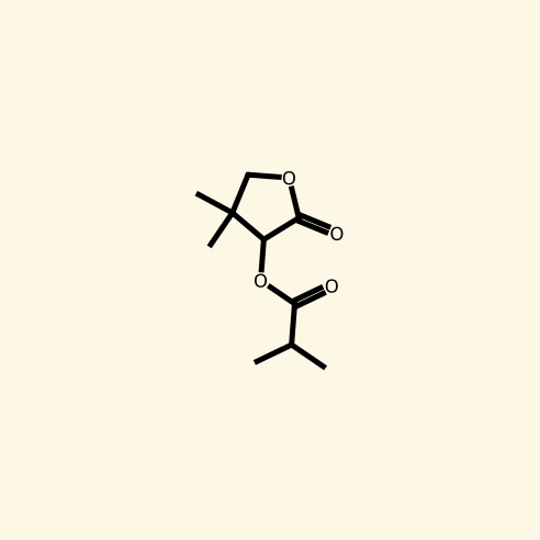 CC(C)C(=O)OC1C(=O)OCC1(C)C